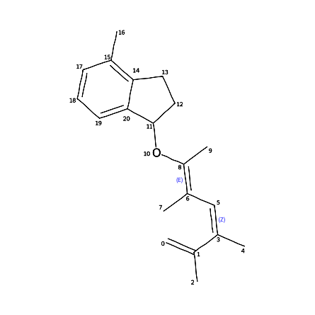 C=C(C)/C(C)=C\C(C)=C(/C)OC1CCc2c(C)cccc21